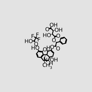 CN1CC[C@]23c4c5ccc(O)c4O[C@H]2C(OC(=O)[C@@H](OC(=O)[C@H](O)[C@@H](O)C(=O)O)c2ccccc2)=CC[C@@]3(O)[C@H]1C5.O=C(O)C(F)(F)F